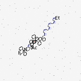 CC/C=C\C/C=C\C/C=C\C/C=C\C/C=C\C/C=C\CC(=O)Oc1ccccc1C(=O)Oc1ccccc1C(=O)OC(=O)/C=C1/CN([C@@H](C(=O)C2CC2)c2ccccc2F)CCC1SC(C)=O